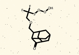 O=C1C2CC3CC(C2)C(COCC(F)(F)SOOO)C1C3